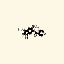 CC1C(=S)Nc2cc(NC(=O)c3ccncc3)c([N+](=O)[O-])cc21